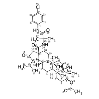 CC(=O)O[C@H]1CC[C@]2(C)[C@H]3CC[C@@H]4C5=C(C(C)C)C(=O)C[C@]5(C(=O)NC(C)(C)C(=O)Nc5ccc(Cl)cc5)CC[C@@]4(C)[C@]3(C)CC[C@]23P[C@]13C